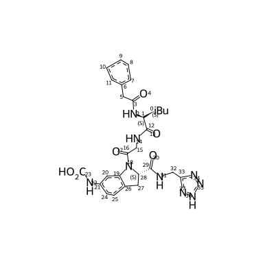 CC[C@H](C)[C@H](NC(=O)Cc1ccccc1)C(=O)NCC(=O)N1c2cc(NC(=O)O)ccc2C[C@H]1C(=O)NCc1nn[nH]n1